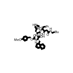 CCC(C)CNC(=O)CC(O)C(CC(C)C)NC(=O)[C@H](Cc1c[nH]cn1)NC(=O)[C@H](Cc1cccc2ccccc12)NC(=O)OCc1ccc(OC)cc1